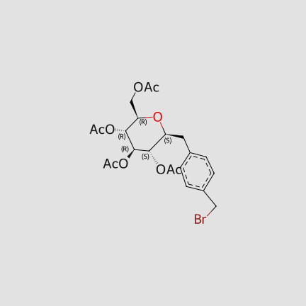 CC(=O)OC[C@H]1O[C@@H](Cc2ccc(CBr)cc2)[C@H](OC(C)=O)[C@@H](OC(C)=O)[C@@H]1OC(C)=O